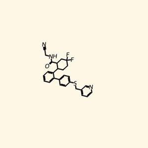 N#CCNC(=O)C1CC(F)(F)CCC1c1ccccc1-c1ccc(SCc2cccnc2)cc1